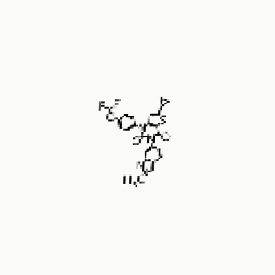 Cn1cc2ccc(-n3c(=O)c4sc(C5CC5)cc4n(-c4ccc(OC(F)F)cc4)c3=O)cc2n1